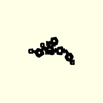 CCCCN(C(=O)c1cccc(Cl)c1)c1nc2n(c1C(=O)N1CCN(Cc3ccc(Cl)cc3)CC1)CCCC2